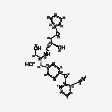 Cl.N#Cc1cccnc1Oc1ccc(C[C@H](CO)NC[C@H](O)COc2ccccc2)cc1